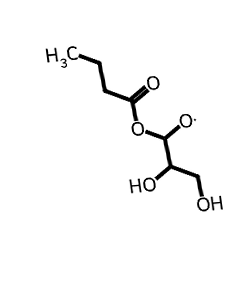 CCCC(=O)OC([O])C(O)CO